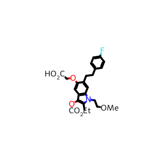 CCOC(=O)Oc1c(C)n(CCOC)c2cc(CCc3ccc(F)cc3)c(OCC(=O)O)cc12